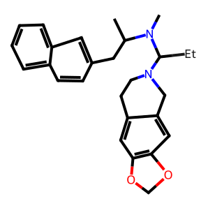 CCC(N1CCc2cc3c(cc2C1)OCO3)N(C)C(C)Cc1ccc2ccccc2c1